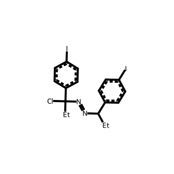 CCC(N=NC(Cl)(CC)c1ccc(I)cc1)c1ccc(I)cc1